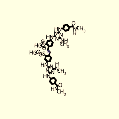 CNC(=O)c1ccc(Nc2nc(NC)nc(Nc3ccc(/C=C/c4ccc(Nc5nc(NC)nc(Nc6ccc(C(=O)NC)cc6)n5)cc4S(=O)(=O)O)c(SOOO)c3)n2)cc1